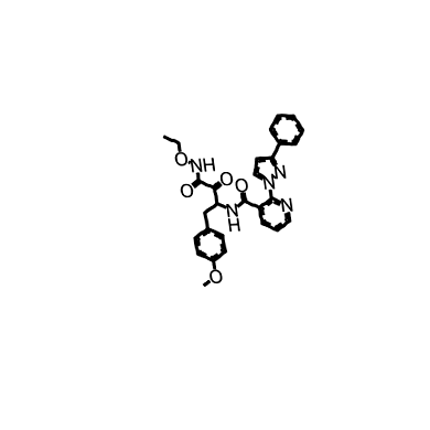 CCONC(=O)C(=O)C(Cc1ccc(OC)cc1)NC(=O)c1cccnc1-n1ccc(-c2ccccc2)n1